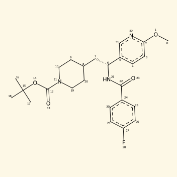 COc1ccc([C@@H](CC2CCN(C(=O)OC(C)(C)C)CC2)NC(=O)c2ccc(F)cc2)cn1